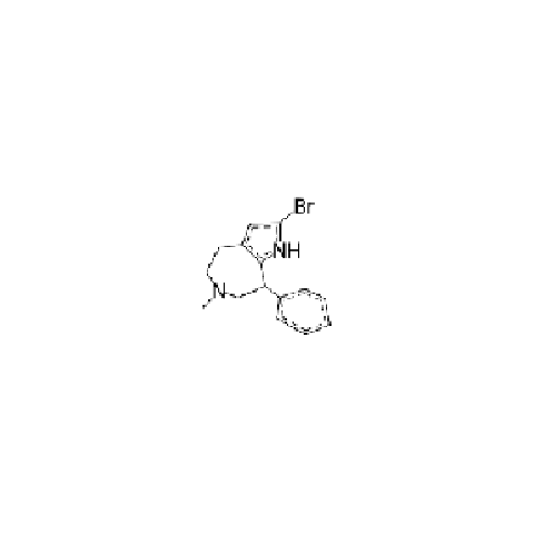 CN1CCc2cc(Br)[nH]c2C(c2ccccc2)C1